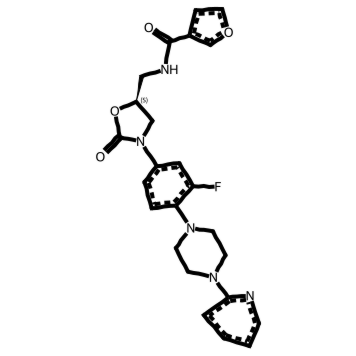 O=C(NC[C@H]1CN(c2ccc(N3CCN(c4ccccn4)CC3)c(F)c2)C(=O)O1)c1ccoc1